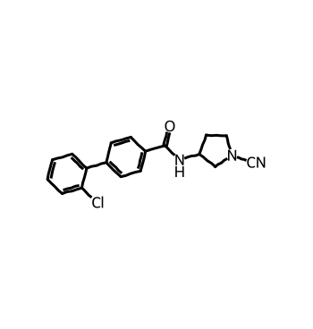 N#CN1CCC(NC(=O)c2ccc(-c3ccccc3Cl)cc2)C1